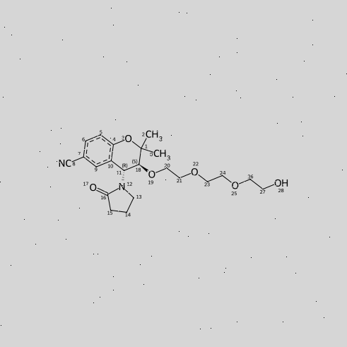 CC1(C)Oc2ccc(C#N)cc2[C@@H](N2CCCC2=O)[C@@H]1OCCOCCOCCO